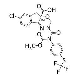 COC(=O)N(C(=O)N1CO[C@@]2(C(=O)O)Cc3cc(Cl)ccc3C2=N1)c1ccc(SC(F)(F)F)cc1